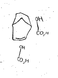 C1=CC2CCC1C2.O=C(O)O.O=C(O)O